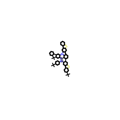 CC(C)(C)c1ccc(Nc2cc3c(cc2-c2ccc4c5cc6sc7ccccc7c6cc5n5c4c2Bc2cc4c(cc2-5)-c2ccccc2C4(C)C)sc2cc(C(C)(C)C)ccc23)cc1